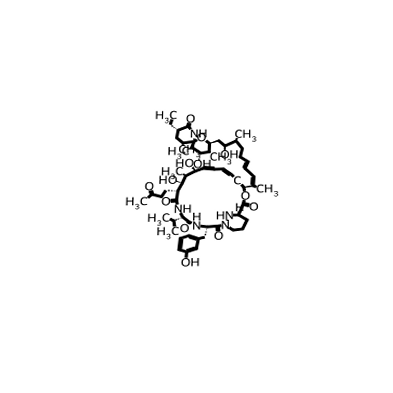 CC[C@H]1C[C@H](C)[C@@]2(NC1=O)O[C@@H](C[C@H](O)[C@@H](C)CC/C=C/C=C(/C)[C@@H]1CC=CC=C[C@H](O)[C@H](C)[C@@H](O)[C@@H](CCC(C)=O)C(=O)N[C@@H](C(C)C)C(=O)N[C@@H](Cc3cccc(O)c3)C(=O)N3CCC[C@H](N3)C(=O)O1)[C@@H](C)[C@H](O)[C@@H]2C